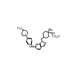 CN1CCN(c2ccc(Nc3ncc4cnn(CC5CCC(NC(=O)O)(C(C)(C)C)CC5)c4n3)cc2)CC1